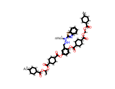 CCCCCCN(NCc1cc(OC(=O)C2CCC(C(=O)OC(C)OC(=O)C3CCC(C(C)=O)CC3)CC2)ccc1OC(=O)C1CCC(C(=O)OCOC(=O)C2CCC(C(C)=O)CC2)CC1)c1nc2ccccc2s1